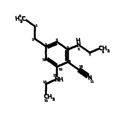 CCCc1cc(NCC)c(C#N)c(NCC)c1